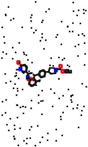 Cc1ccccc1[C@H](C/C(=N\O)c1ccc(=O)n(C)c1)c1ccc(C2CCN(C(=O)OC(C)(C)C)CC2)cc1